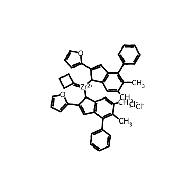 Cc1cc2c(c(-c3ccccc3)c1C)C=C(c1ccco1)[CH]2[Zr+2](=[C]1CCC1)[CH]1C(c2ccco2)=Cc2c1cc(C)c(C)c2-c1ccccc1.[Cl-].[Cl-]